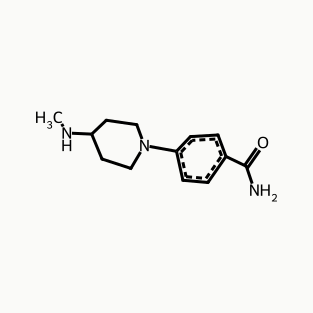 CNC1CCN(c2ccc(C(N)=O)cc2)CC1